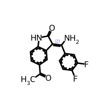 CC(=O)c1ccc2c(c1)/C(=C(/N)c1ccc(F)c(F)c1)C(=O)N2